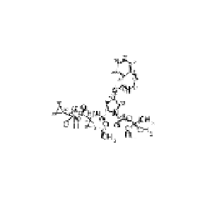 C=C[C@@H]1C[C@]1(NC(=O)[C@@H]1C[C@@H](Oc2ncnc3ccccc23)CN1C(=O)OC(C)(C)C)C(=O)NS(=O)(=O)C1CC1